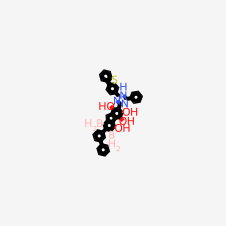 Bc1c(O)c2c(c(B)c1-c1cccc(-c3ccccc3)c1)Cc1c(O)c(C3=NC(c4ccccc4)NC(c4ccc5c(c4)sc4ccccc45)=N3)c(O)c(O)c1-2